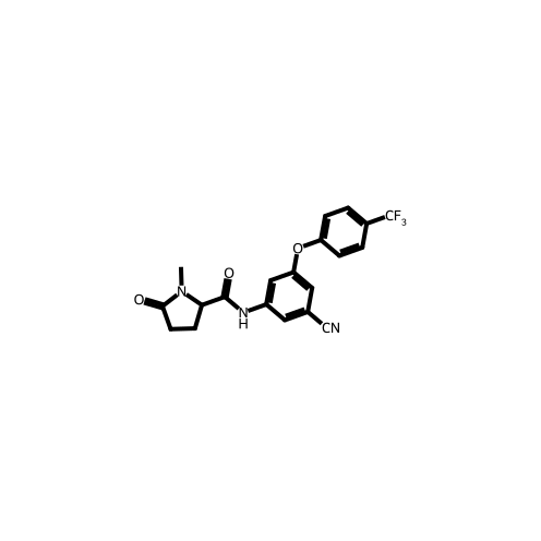 CN1C(=O)CCC1C(=O)Nc1cc(C#N)cc(Oc2ccc(C(F)(F)F)cc2)c1